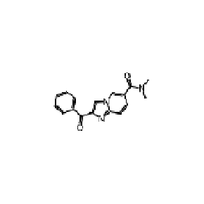 CN(C)C(=O)c1ccc2nc(C(=O)c3ccccc3)cn2c1